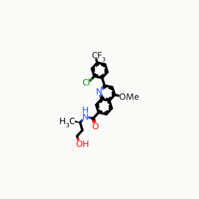 COc1cc(-c2ccc(C(F)(F)F)cc2Cl)nc2cc(C(=O)N[C@H](C)CCO)ccc12